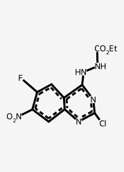 CCOC(=O)NNc1nc(Cl)nc2cc([N+](=O)[O-])c(F)cc12